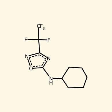 FC(F)(F)C(F)(F)c1noc(NC2CCCCC2)n1